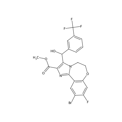 COC(=O)c1nc2n(c1C(O)c1cccc(C(F)(F)F)c1)CCOc1cc(F)c(Br)cc1-2